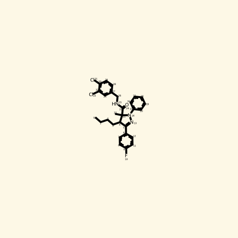 CCCCC1C(c2ccc(F)cc2)=NN(c2ccccc2)C1(C)C(=O)NCc1ccc(Cl)c(Cl)c1